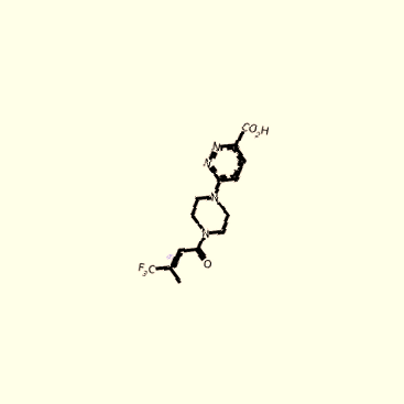 C/C(=C\C(=O)N1CCN(c2ccc(C(=O)O)nn2)CC1)C(F)(F)F